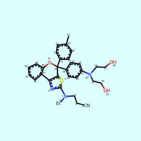 CCN(CCC#N)c1nc2c(s1)C(c1ccc(C)cc1)(c1ccc(N(CCO)CCO)cc1)Oc1ccccc1-2